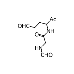 CC(=O)C(CCC=O)NC(=O)CNC=O